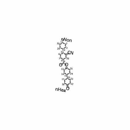 CCCCCCCCCc1ccc(-c2ccc(C(=O)Oc3ccc(-c4ccc(OCCCCCC)cc4)cc3)cc2C#N)cc1